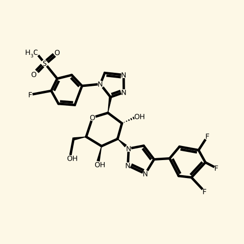 CS(=O)(=O)c1cc(-n2cnnc2[C@@H]2O[C@H](CO)[C@H](O)[C@H](n3cc(-c4cc(F)c(F)c(F)c4)nn3)[C@H]2O)ccc1F